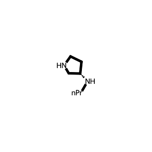 CCCN[C@H]1CCNC1